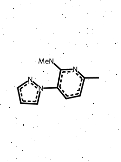 CNc1nc(C)ccc1-n1cccn1